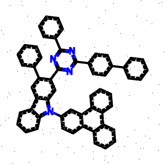 c1ccc(-c2ccc(-c3nc(-c4ccccc4)nc(-c4cc5c(cc4-c4ccccc4)c4ccccc4n5-c4ccc5c6ccccc6c6ccccc6c5c4)n3)cc2)cc1